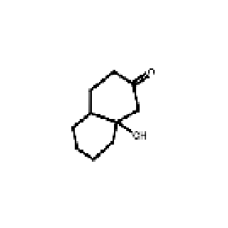 O=C1CCC2CCCCC2(O)C1